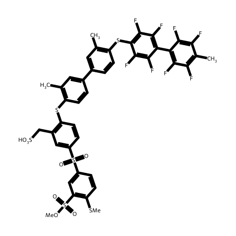 COS(=O)(=O)c1cc(S(=O)(=O)c2ccc(Sc3ccc(-c4ccc(Sc5c(F)c(F)c(-c6c(F)c(F)c(C)c(F)c6F)c(F)c5F)c(C)c4)cc3C)c(CS(=O)(=O)O)c2)ccc1SC